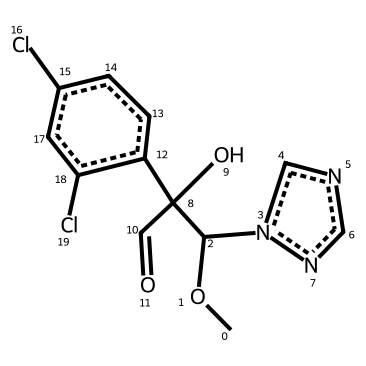 COC(n1cncn1)C(O)(C=O)c1ccc(Cl)cc1Cl